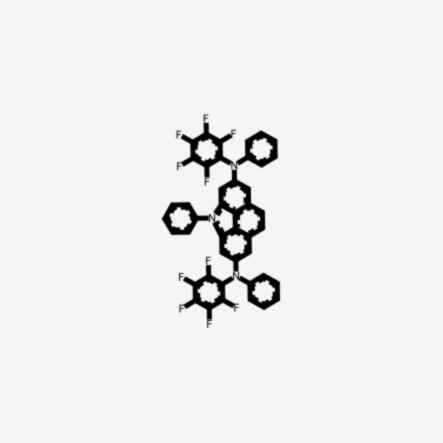 Fc1c(F)c(F)c(N(c2ccccc2)c2cc3ccc4cc(N(c5ccccc5)c5c(F)c(F)c(F)c(F)c5F)cc5c4c3c(c2)n5-c2ccccc2)c(F)c1F